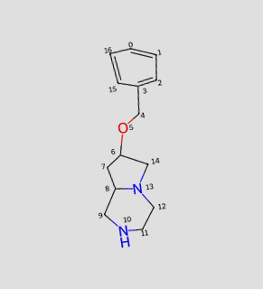 c1ccc(COC2CC3CNCCN3C2)cc1